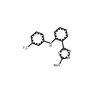 CSc1nnc(-c2ccccc2Nc2cccc(C(F)(F)F)c2)s1